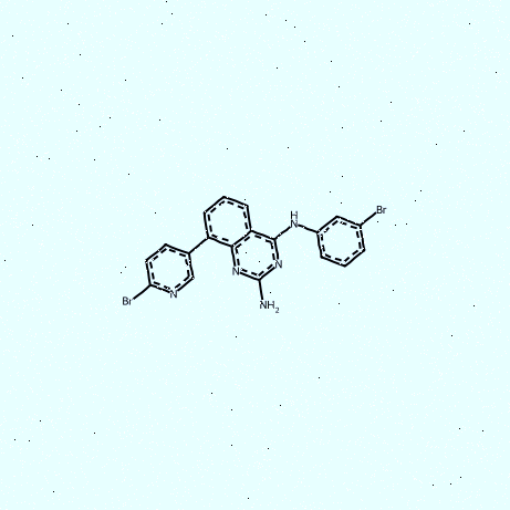 Nc1nc(Nc2cccc(Br)c2)c2cccc(-c3ccc(Br)nc3)c2n1